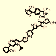 Cc1ncsc1-c1ccc([C@H](C)NC(=O)[C@@H]2C[C@@H](O)CN2C(=O)C(c2cc(-c3cnc(N4CCC(c5cc6nnc(-c7ccccc7O)cc6n5C5CC5)C4)nc3)no2)C(C)C)cc1